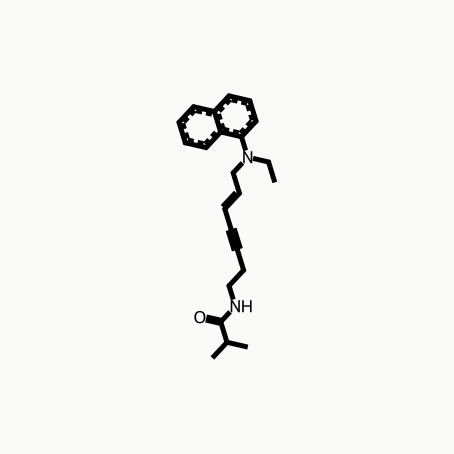 CCN(CC=CC#CCCNC(=O)C(C)C)c1cccc2ccccc12